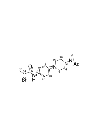 CC(=O)N(C)C1CCN(c2ccc(NC(=O)C(C)Br)cc2)CC1